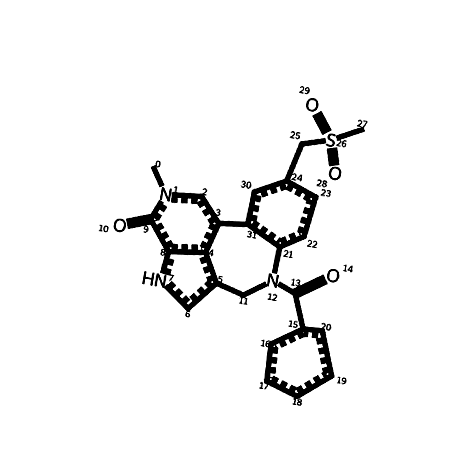 Cn1cc2c3c(c[nH]c3c1=O)CN(C(=O)c1ccccc1)c1ccc(CS(C)(=O)=O)cc1-2